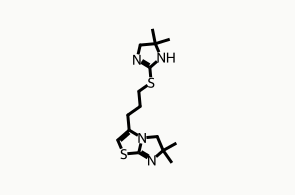 CC1(C)CN2C(CCCSC3=NCC(C)(C)N3)=CSC2=N1